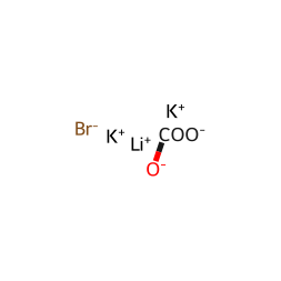 O=C([O-])[O-].[Br-].[K+].[K+].[Li+]